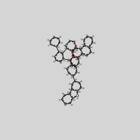 c1ccc(-c2ccccc2-c2c(-c3ccccc3)cccc2N(c2ccc(-c3ccc4oc5ccccc5c4c3)cc2)c2ccc3c(ccc4ccccc43)c2)cc1